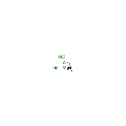 Cl.Cl.[AlH3].[MgH2]